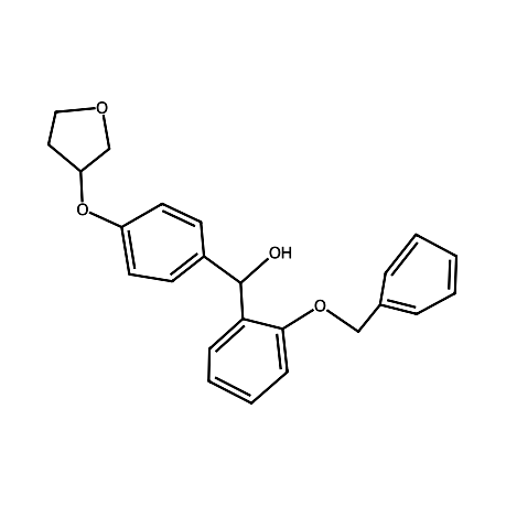 OC(c1ccc(OC2CCOC2)cc1)c1ccccc1OCc1ccccc1